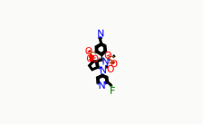 CS(=O)(=O)c1cc(C#N)ccc1[C@@H]1C2=C(CCC2=O)N(c2ccnc(CF)c2)C(=O)N1S(C)(=O)=O